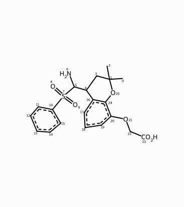 CC1(C)CC(C(N)S(=O)(=O)c2ccccc2)c2cccc(OCC(=O)O)c2O1